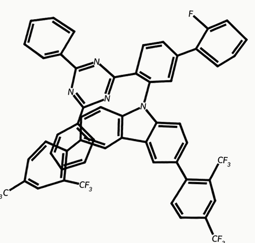 Fc1ccccc1-c1ccc(-c2nc(-c3ccccc3)nc(-c3ccccc3)n2)c(-n2c3ccc(-c4ccc(C(F)(F)F)cc4C(F)(F)F)cc3c3cc(-c4ccc(C(F)(F)F)cc4C(F)(F)F)ccc32)c1